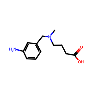 CN(CCCC(=O)O)Cc1cccc(N)c1